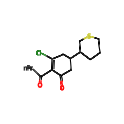 CCCC(=O)C1=C(Cl)CC(C2CCCSC2)CC1=O